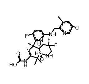 Cc1cc(Cl)cnc1CNc1ccc(F)c([C@@]2(C)N=C(NC(=O)O)C(C)(C)[SH]3(=O)NCC(F)(F)C[C@H]23)n1